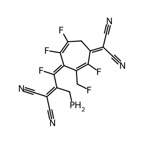 N#CC(C#N)=C1CC(F)=C(F)/C(=C(\F)C(CP)=C(C#N)C#N)C(CF)=C1F